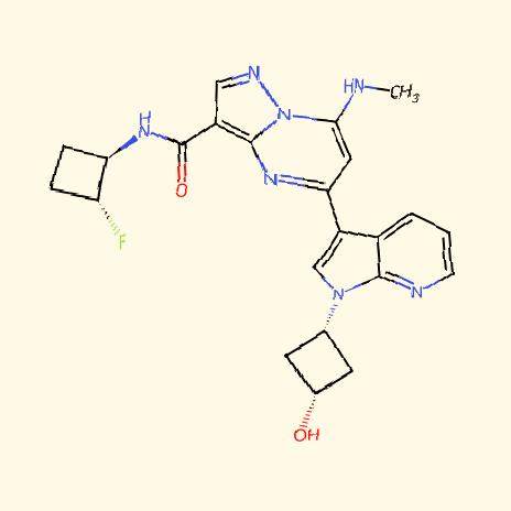 CNc1cc(-c2cn([C@H]3C[C@@H](O)C3)c3ncccc23)nc2c(C(=O)N[C@@H]3CC[C@H]3F)cnn12